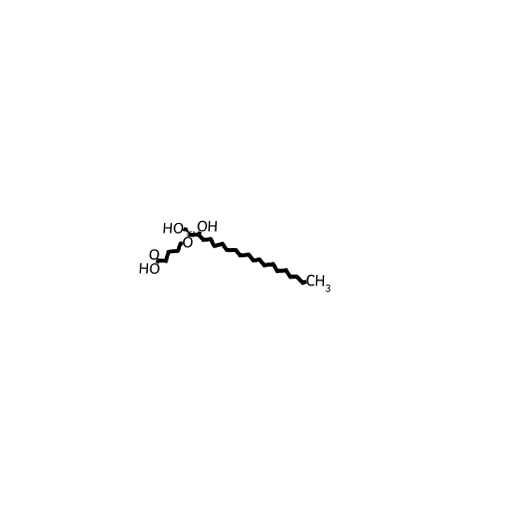 CCCCCCCCCCCCCCCCCCC(O)[C@H](CO)OCCCCC(=O)O